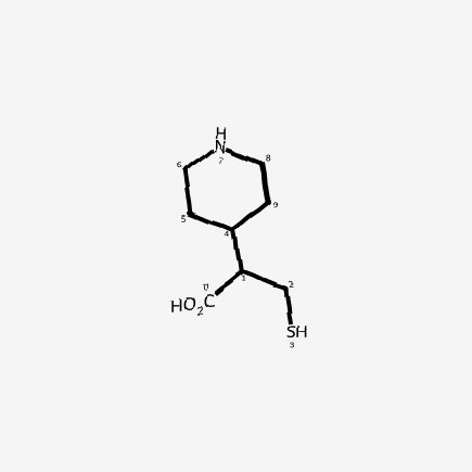 O=C(O)C(CS)C1CCNCC1